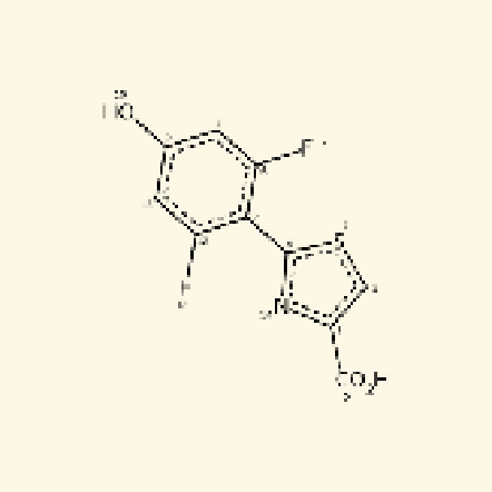 O=C(O)c1csc(-c2c(F)cc(O)cc2F)n1